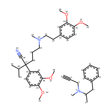 C#CCN(C)C(C)Cc1ccccc1.COc1ccc(CCN(C)CCCC(C#N)(c2ccc(OC)c(OC)c2)C(C)C)cc1OC